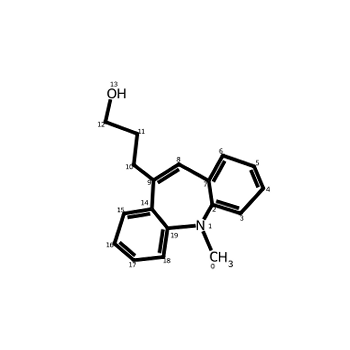 CN1c2ccccc2C=C(CCCO)c2ccccc21